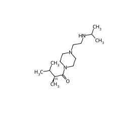 CC(C)NCCN1CCN(C(=O)[C@@H](C)C(C)C)CC1